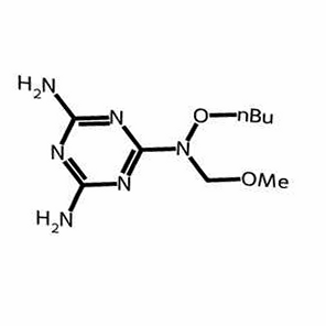 CCCCON(COC)c1nc(N)nc(N)n1